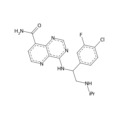 CC(C)NCC(Nc1ncnc2c(C(N)=O)ccnc12)c1ccc(Cl)c(F)c1